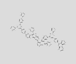 c1ccc(-c2ccc(-c3nc(-c4ccccc4)nc(-c4ccc(-c5ccc6sc7c8cc(-c9cccc%10nc(-c%11ccccc%11)c%11c%12cc(-c%13cc(-c%14ccc(-c%15cc%16ccccc%16c%16ccccc%15%16)cc%14)nc(-c%14ccccc%14)n%13)ccc%12sc%11c9%10)ccc8nc(-c8ccccc8)c7c6c5)cc4)n3)cc2)cc1